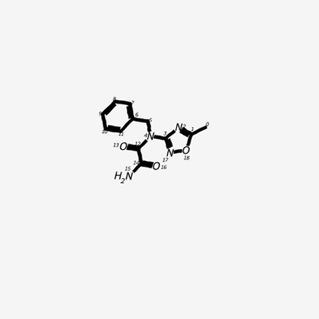 Cc1nc(N(Cc2ccccc2)C(=O)C(N)=O)no1